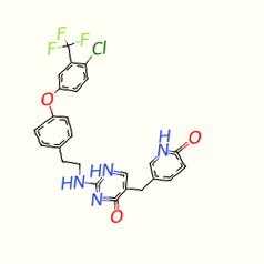 O=c1ccc(Cc2c[nH]c(NCCc3ccc(Oc4ccc(Cl)c(C(F)(F)F)c4)cc3)nc2=O)c[nH]1